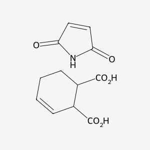 O=C(O)C1C=CCCC1C(=O)O.O=C1C=CC(=O)N1